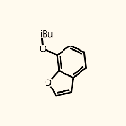 CCC(C)Oc1cccc2ccoc12